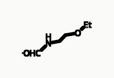 CCOCCN[C]=O